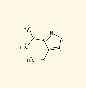 CCc1c[nH]nc1C(C)C